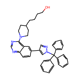 OCCCCC1CCN(c2ncnc3ccc(-c4cnn(C(c5ccccc5)(c5ccccc5)c5ccccc5)c4)cc23)CC1